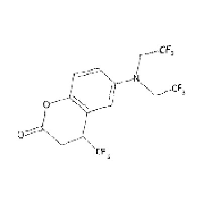 O=C1CC(C(F)(F)F)c2cc(N(CC(F)(F)F)CC(F)(F)F)ccc2O1